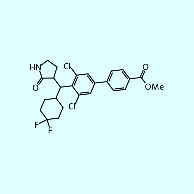 COC(=O)c1ccc(-c2cc(Cl)c(C(C3CCC(F)(F)CC3)C3CCNC3=O)c(Cl)c2)cc1